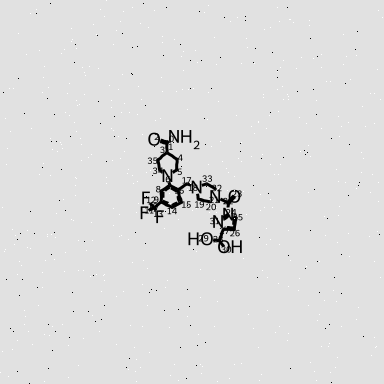 NC(=O)C1CCN(c2cc(C(F)(F)F)ccc2CN2CCN(C(=O)n3ccc(C(O)O)n3)CC2)CC1